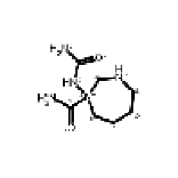 NC(=O)N[N+]1(C(N)=O)CCCCNC1